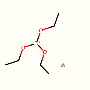 CC[O][Ti+]([O]CC)[O]CC.[Br-]